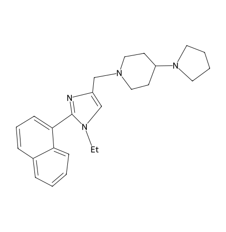 CCn1cc(CN2CCC(N3CCCC3)CC2)nc1-c1cccc2ccccc12